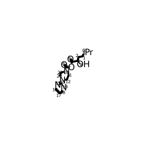 CC(C)CC[C@@H](O)C(=O)OC(=O)N1CCN(c2ncccn2)CC1